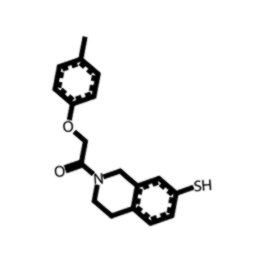 Cc1ccc(OCC(=O)N2CCc3ccc(S)cc3C2)cc1